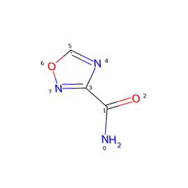 NC(=O)c1n[c]on1